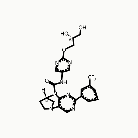 O=C(Nc1cnc(OC[C@H](O)CO)nc1)N1c2nc(-c3cccc(C(F)(F)F)c3)ncc2N2CC[C@H]1C2